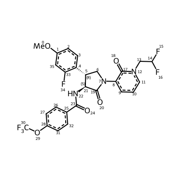 COc1ccc([C@@H]2CN(c3cccn(CC(F)F)c3=O)C(=O)[C@H]2NC(=O)c2ccc(OC(F)(F)F)cc2)c(F)c1